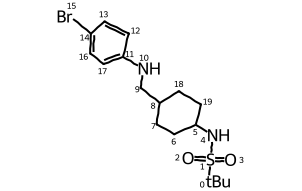 CC(C)(C)S(=O)(=O)NC1CCC(CNc2ccc(Br)cc2)CC1